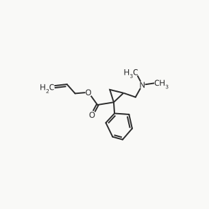 C=CCOC(=O)C1(c2ccccc2)CC1CN(C)C